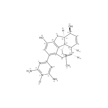 CN1CC[C@]23c4c5c(-c6nc(N)[n+]([O-])c(N)n6)cc(O)c4S[C@H]2[C@@H](O)C=C[C@H]3[C@H]1C5